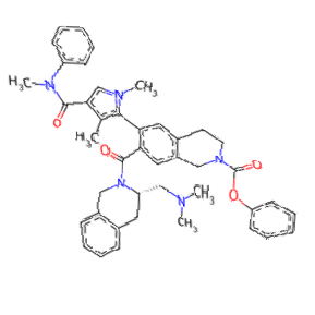 Cc1c(C(=O)N(C)c2ccccc2)cn(C)c1-c1cc2c(cc1C(=O)N1Cc3ccccc3C[C@H]1CN(C)C)CN(C(=O)Oc1ccccc1)CC2